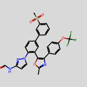 Cc1nc(-c2ccc(OC(F)(F)F)cc2)c(-c2cc(-c3cccc(S(C)(=O)=O)c3)ccc2-n2ccc(NC=O)n2)o1